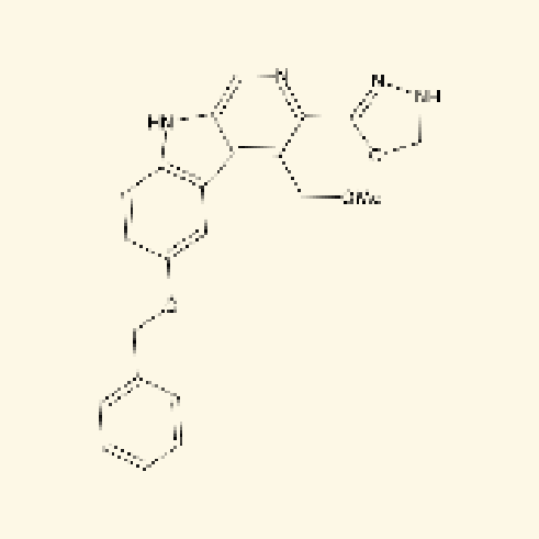 COCc1c(C2=NNCO2)ncc2[nH]c3ccc(OCc4ccccc4)cc3c12